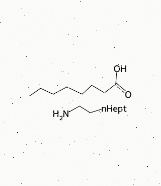 CCCCCCCC(=O)O.CCCCCCCCCN